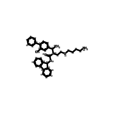 CC(c1ccc(-c2ccccc2)c(Cl)c1)N(CCOCCCCN)C(=O)OC1c2ccccc2-c2ccccc21